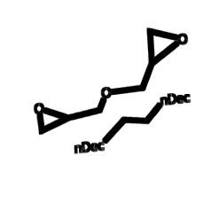 C(OCC1CO1)C1CO1.CCCCCCCCCCCCCCCCCCCCCC